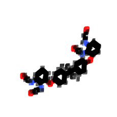 O=C=Nc1cccc(Oc2ccc(C(c3ccc(Oc4cccc(N=C=O)c4N=C=O)cc3)(C(F)(F)F)C(F)(F)F)cc2)c1N=C=O